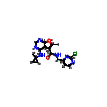 Cc1oc2ncnc(NC3(C)CC3)c2c1C(=O)NCc1ccnc(Cl)n1